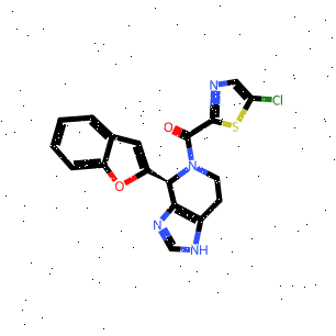 O=C(c1ncc(Cl)s1)N1CCc2[nH]cnc2[C@H]1c1cc2ccccc2o1